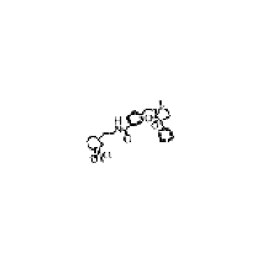 C[C@H]1CCC(c2ccccc2)S(=O)(=O)N1Cc1ccc(C(=O)NCCC2CCCN(S(C)(=O)=O)C2)cc1